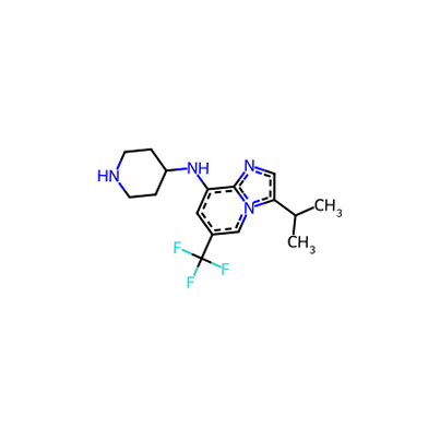 CC(C)c1cnc2c(NC3CCNCC3)cc(C(F)(F)F)cn12